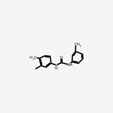 Cc1cccc(NC(=O)Nc2ccc(C)c(I)c2)c1